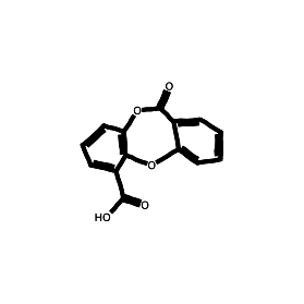 O=C1Oc2cccc(C(=O)O)c2Oc2ccccc21